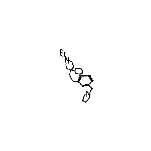 CCN1CCC2(CCc3cc(CN4CCCC4)ccc3O2)CC1